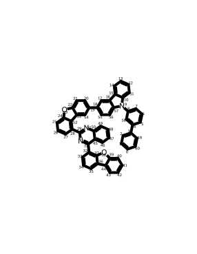 c1ccc(-c2cccc(-n3c4ccccc4c4cc(-c5ccc6oc7cccc(-c8nc(-c9cccc%10c9oc9ccccc9%10)c9ccccc9n8)c7c6c5)ccc43)c2)cc1